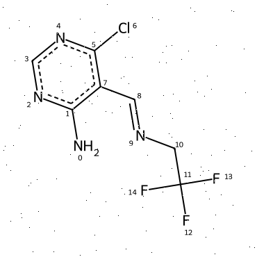 Nc1ncnc(Cl)c1C=NCC(F)(F)F